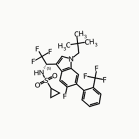 CC(C)(C)Cn1cc([C@H](NS(=O)(=O)C2CC2)C(F)(F)F)c2cc(F)c(-c3ccccc3C(F)(F)F)cc21